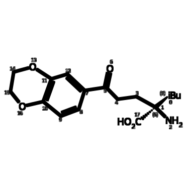 CC[C@H](C)[C@@](N)(CCC(=O)c1ccc2c(c1)OCCO2)C(=O)O